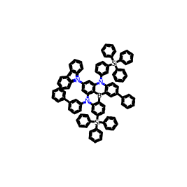 c1ccc(-c2cccc(N3c4cc([Si](c5ccccc5)(c5ccccc5)c5ccccc5)ccc4B4c5cc(-c6ccccc6)ccc5N(c5cccc([Si](c6ccccc6)(c6ccccc6)c6ccccc6)c5)c5cc(-n6c7ccccc7c7ccccc76)cc3c54)c2)cc1